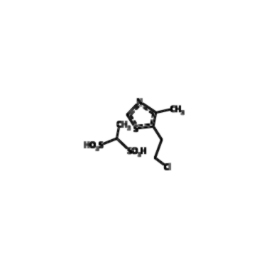 CC(S(=O)(=O)O)S(=O)(=O)O.Cc1ncsc1CCCl